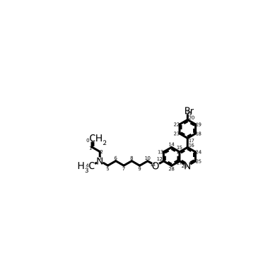 C=CCN(C)CCCCCCOc1ccc2c(-c3ccc(Br)cc3)ccnc2c1